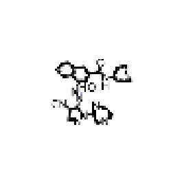 [C-]#[N+]c1cnn(-c2cnccn2)c1/N=N/c1c(O)c(C(=O)Nc2ccccc2)cc2ccccc12